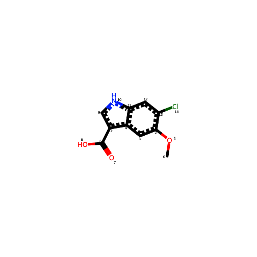 COc1cc2c(C(=O)O)c[nH]c2cc1Cl